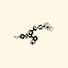 Cc1ccc(S(=O)(=O)n2cc(-c3cccc4c3OC(F)(F)O4)c3cc(-c4cnn(N5CCN(C(=O)OC(C)(C)C)CC5)c4)cnc32)cc1